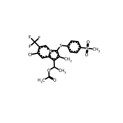 CC(=O)OC(C)c1c(C)c(Sc2ccc(S(C)(=O)=O)cc2)n2cc(C(F)(F)F)c(Cl)cc12